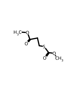 COC(=O)CCSC(=O)OC